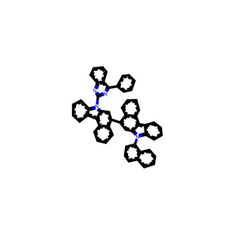 c1ccc(-c2nc(-n3c4ccccc4c4c5ccccc5c(-c5cc6c(c7ccccc57)c5ccccc5n6-c5cccc6ccccc56)cc43)nc3ccccc23)cc1